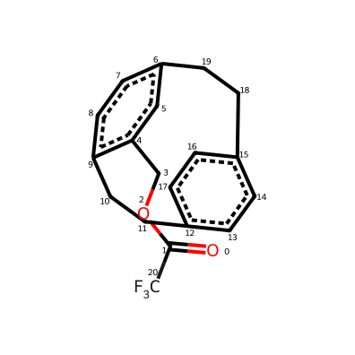 O=C(OCc1cc2ccc1CCc1ccc(cc1)CC2)C(F)(F)F